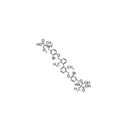 Cc1c(COc2ccc(CNC(C)(C)C(=O)O)cc2Br)cccc1-c1cccc(COc2ccc(CNC(C)(C(=O)O)C(=O)O)cc2Br)c1C